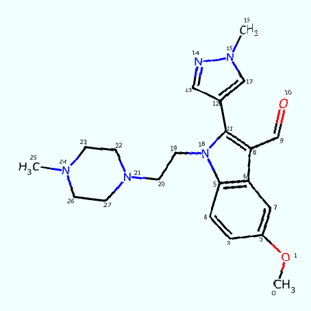 COc1ccc2c(c1)c(C=O)c(-c1cnn(C)c1)n2CCN1CCN(C)CC1